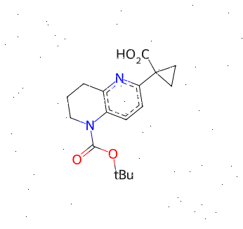 CC(C)(C)OC(=O)N1CCCc2nc(C3(C(=O)O)CC3)ccc21